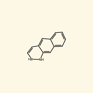 B1C=Cc2cc3ccccc3cc2N1